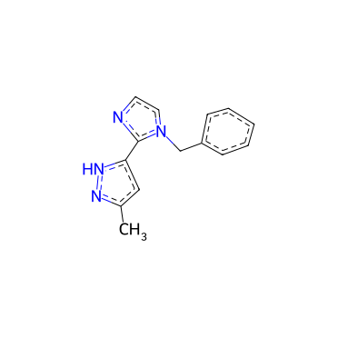 Cc1cc(-c2nccn2Cc2ccccc2)[nH]n1